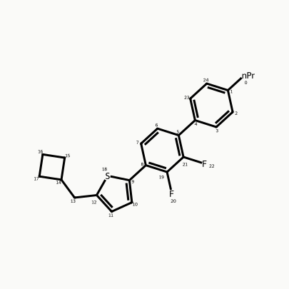 CCCc1ccc(-c2ccc(-c3ccc(CC4CCC4)s3)c(F)c2F)cc1